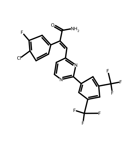 NC(=O)/C(=C/c1ccnc(-c2cc(C(F)(F)F)cc(C(F)(F)F)c2)n1)c1ccc(Cl)c(F)c1